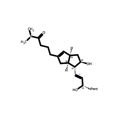 CCCCC[C@H](O)/C=C/[C@@H]1[C@H]2CC(CCCC(=O)N(C)C)=C[C@H]2C[C@H]1O